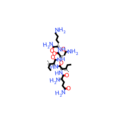 CC[C@H](C)[C@H](NC(=O)[C@@H](NC(=O)[C@@H](N)CCC(N)=O)[C@@H](C)CC)C(=O)N[C@@H](CC(N)=O)C(=O)N[C@@H](CCCCN)C(N)=O